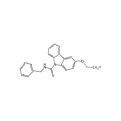 O=C(O)COc1ccc2c(c1)c1ccccc1n2C(=O)NCc1ccccc1